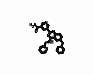 NC(=O)c1cncc(-c2nc(NCc3ccccn3)c3cc(Cc4ccccc4)ccc3n2)c1